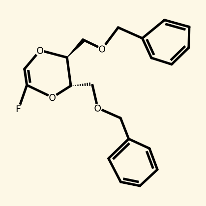 FC1=CO[C@@H](COCc2ccccc2)[C@H](COCc2ccccc2)O1